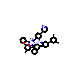 Cc1cc(C)cc(-c2ccc3c4ccc(-c5cc(C)cc(C)c5)cc4n(-c4cc(-c5cccnc5)ccc4-c4nc(-c5ccccc5)nc(-c5ccccc5)n4)c3c2)c1